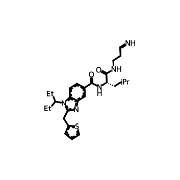 CCC(CC)n1c(Cc2cccs2)nc2cc(C(=O)N[C@@H](CC(C)C)C(=O)NCCC=N)ccc21